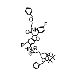 CC1(C)OB(CC(CCS(=O)(=O)Nc2cc3oc(-c4ccc(F)cc4)c(C(=O)NCCOCc4ccccc4)c3cc2C2CC2)COCc2ccccc2)OC1(C)C